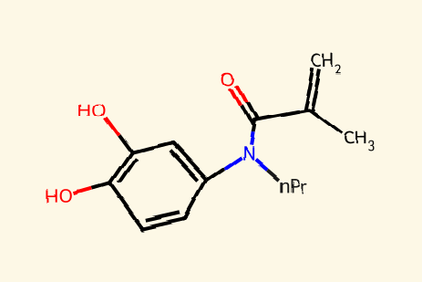 C=C(C)C(=O)N(CCC)c1ccc(O)c(O)c1